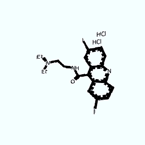 CCN(CC)CCNC(=O)c1c2cc(I)ccc2nc2ccc(I)cc12.Cl.Cl